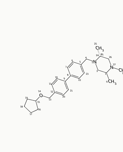 CC1CN(Cc2ccc(-c3ccc(COC4CCCC4)cc3)cc2)[C@H](C)CN1C